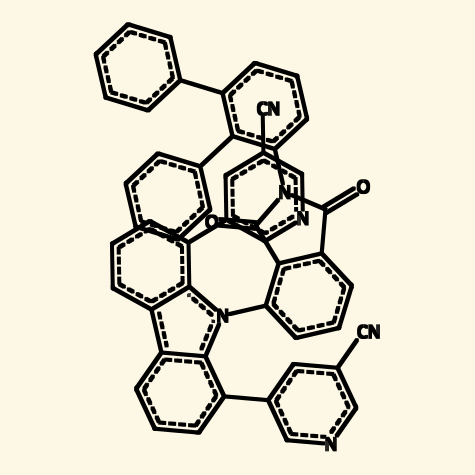 N#Cc1cncc(-c2cccc3c4cccc(-c5cncc(C#N)c5)c4n(-c4cccc5c4C(=O)N(c4cccc(-c6ccccc6)c4-c4ccccc4)C5=O)c23)c1